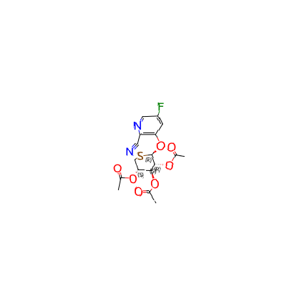 CC(=O)O[C@@H]1[C@@H](OC(C)=O)[C@H](OC(C)=O)CS[C@H]1Oc1cc(F)cnc1C#N